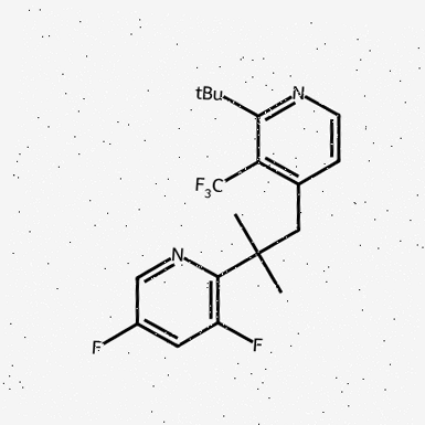 CC(C)(C)c1nccc(CC(C)(C)c2ncc(F)cc2F)c1C(F)(F)F